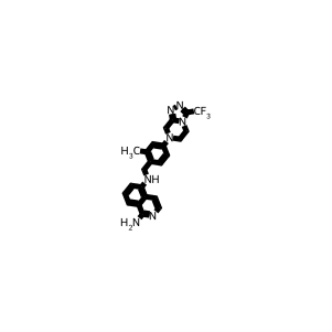 Cc1cc(N2CCn3c(nnc3C(F)(F)F)C2)ccc1CNc1cccc2c(N)nccc12